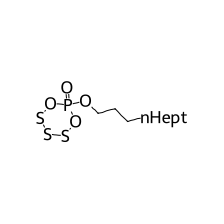 CCCCCCCCCCOP1(=O)OSSSO1